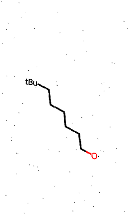 CC(C)(C)CCCCCC[O]